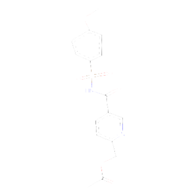 COc1ccc(S(=O)(=O)NC(=O)c2ccc(COC(C)=O)nc2)cc1